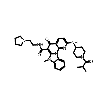 CC(C)C(=O)N1CCC(Nc2ccc3c(=O)c(C(=O)NCCN4CCCC4)c4n(C)c5ccccc5n4c3n2)CC1